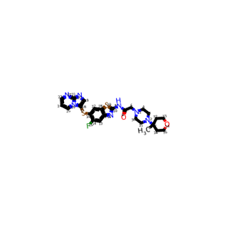 CC1(N2CCN(CC(=O)Nc3nc4cc(F)c(Sc5cnc6ncccn56)cc4s3)CC2)CCOCC1